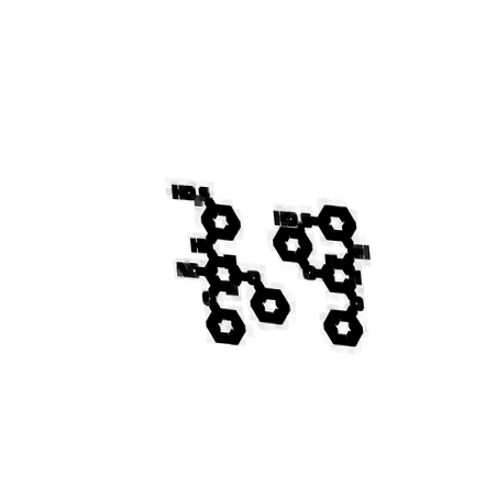 N#Cc1c(Nc2cccc(S(=O)(=O)O)c2)nc(Oc2ccccc2)nc1Oc1ccccc1.O=S(=O)(O)c1cccc(Nc2nc(Oc3ccccc3)cc(Oc3ccccc3)n2)c1